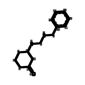 O=C1CCCC(SCSCc2ccccc2)C1